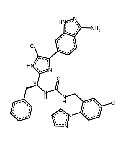 Nc1n[nH]c2cc(-c3nc([C@H](Cc4ccccc4)NC(=O)NCc4cc(Cl)ccc4-n4cccn4)[nH]c3Cl)ccc12